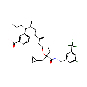 C=C(CCOC(CC)(CC1CC1)C(=O)NCc1cc(Cl)cc(C(F)(F)F)c1)CCC(C)C(CCC)c1cccc(C(=O)O)c1